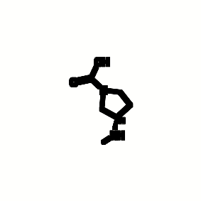 CN[C@H]1CCN(C(=O)O)C1